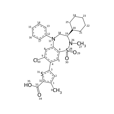 Cc1cc(-c2cc3c(cc2Cl)N(c2ccccc2)C[C@@H](C2CCCCC2)N(C)S3(=O)=O)sc1C(=O)O